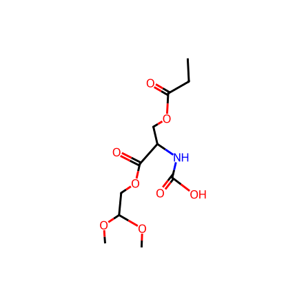 CCC(=O)OCC(NC(=O)O)C(=O)OCC(OC)OC